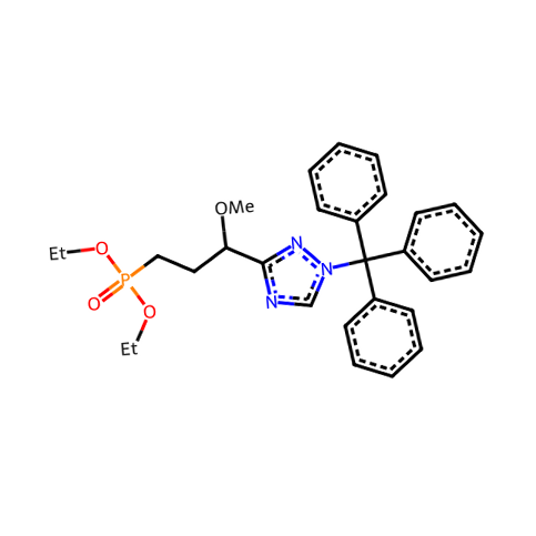 CCOP(=O)(CCC(OC)c1ncn(C(c2ccccc2)(c2ccccc2)c2ccccc2)n1)OCC